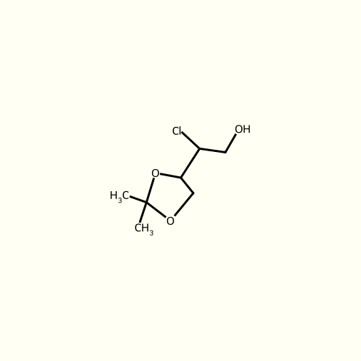 CC1(C)OCC(C(Cl)CO)O1